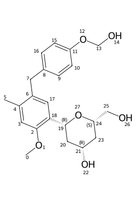 COc1cc(C)c(Cc2ccc(OCO)cc2)cc1[C@H]1C[C@@H](O)C[C@@H](CO)O1